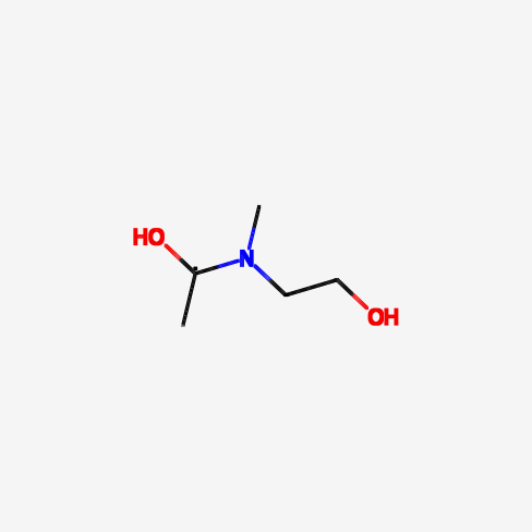 C[C](O)N(C)CCO